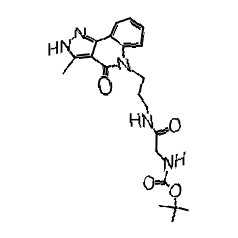 Cc1[nH]nc2c1c(=O)n(CCCNC(=O)CNC(=O)OC(C)(C)C)c1ccccc21